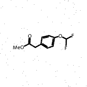 COC(=O)Cc1ccc(OC(F)F)cc1